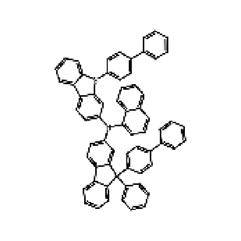 c1ccc(-c2ccc(-n3c4ccccc4c4ccc(N(c5ccc6c(c5)C(c5ccccc5)(c5ccc(-c7ccccc7)cc5)c5ccccc5-6)c5cccc6ccccc56)cc43)cc2)cc1